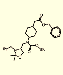 C[C](C)CN1C(CN(C(=O)OC(C)(C)C)C2CCC(CC(=O)OCc3ccccc3)CC2)COC1(C)C